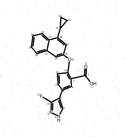 O=C(O)c1cc(-c2c[nH]nc2F)ccc1Oc1cc(C2CC2)c2ccccc2c1